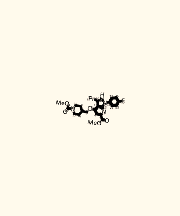 COC(=O)c1cc(OCC2CCN(C(=O)OC)CC2)c2c(n1)N(c1ccc(F)cc1)NC2C(C)C